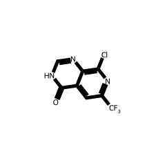 O=c1[nH]cnc2c(Cl)nc(C(F)(F)F)cc12